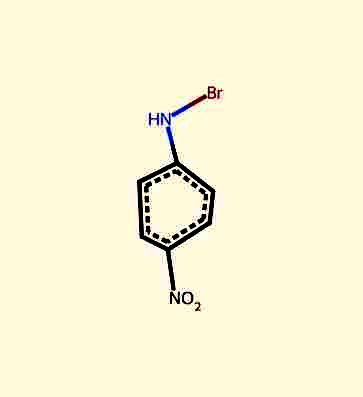 O=[N+]([O-])c1ccc(NBr)cc1